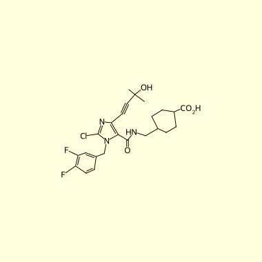 CC(C)(O)C#Cc1nc(Cl)n(Cc2ccc(F)c(F)c2)c1C(=O)NCC1CCC(C(=O)O)CC1